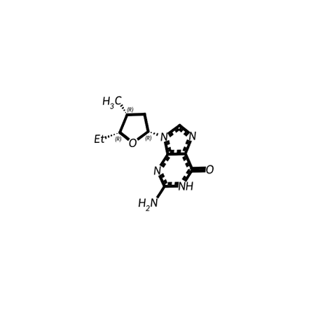 CC[C@H]1O[C@@H](n2cnc3c(=O)[nH]c(N)nc32)C[C@H]1C